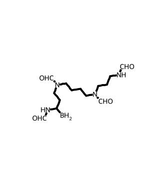 BC(CCN(C=O)CCCCN(C=O)CCCNC=O)NC=O